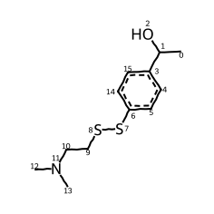 CC(O)c1ccc(SSCCN(C)C)cc1